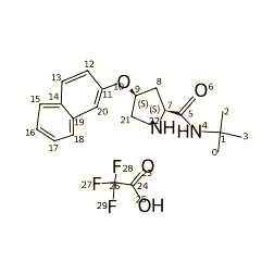 CC(C)(C)NC(=O)[C@@H]1C[C@H](Oc2ccc3ccccc3c2)CN1.O=C(O)C(F)(F)F